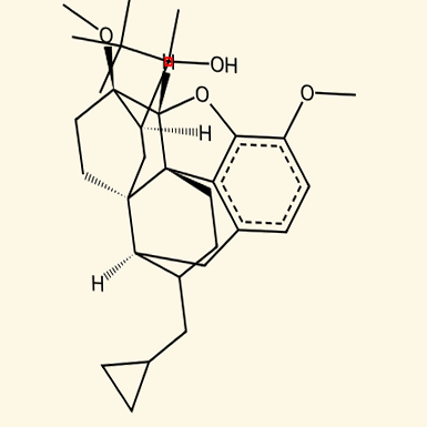 COc1ccc2c3c1O[C@H]1[C@@]4(OC)CC[C@@]5(C[C@@H]4C(C)(O)C(C)(C)C)[C@@H](C2)C(CC2CC2)CC[C@]315